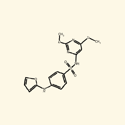 COc1cc(NS(=O)(=O)c2ccc(Nc3ccco3)cc2)nc(OC)n1